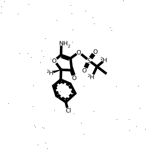 [2H]C([2H])(C)S(=O)(=O)OC1=C(N)O[C@@]([2H])(c2ccc(Cl)cc2)C1=O